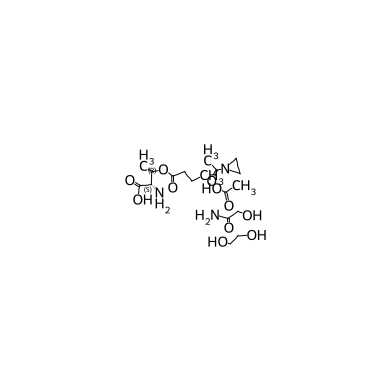 CC(=O)N1CC1.CC(=O)O.CCCC(=O)O[C@H](C)[C@H](N)C(=O)O.NC(=O)CO.OCCO